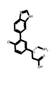 NC[C@H](CC(=O)O)c1ccc(Cl)c(-c2ccc3nc[nH]c3c2)c1